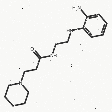 Nc1ccccc1NCCNC(=O)CCN1CCCCC1